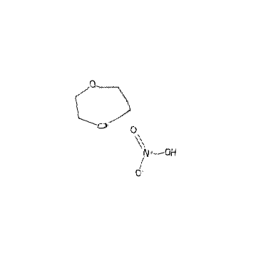 C1COCCO1.O=[N+]([O-])O